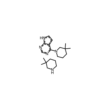 CC1(C)CCCN(c2ncnc3[nH]ccc23)C1.CC1(C)CCCNC1